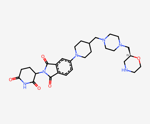 O=C1CCC(N2C(=O)c3ccc(N4CCC(CN5CCN(C[C@@H]6CNCCO6)CC5)CC4)cc3C2=O)C(=O)N1